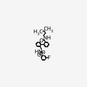 CC(C)CCNC(=O)c1ccccc1-c1ccccc1CNS(=O)(=O)c1cccc(F)c1